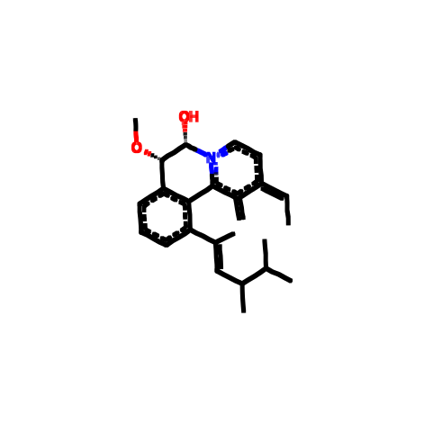 C=c1c2[n+](cc/c1=C/C)[C@@H](O)[C@@H](OC)c1cccc(/C(C)=C/C(C)C(C)C)c1-2